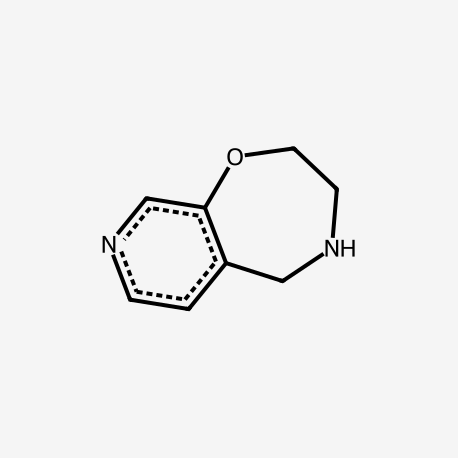 c1cc2c(cn1)OCCNC2